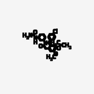 COc1cc2c(cc1OC(C)C)C(c1ccc(Cl)cc1)N(C1CCCC(NC(N)=O)C1)C(=O)C2